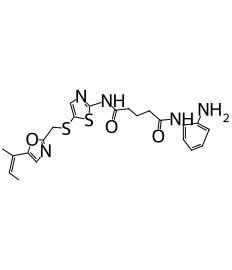 C/C=C(/C)c1cnc(CSc2cnc(NC(=O)CCCC(=O)Nc3ccccc3N)s2)o1